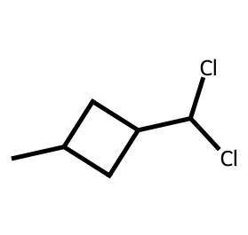 CC1CC(C(Cl)Cl)C1